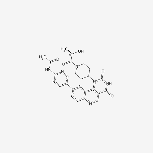 CC(=O)Nc1ncc(-c2ccc3ncc4c(=O)[nH]c(=O)n(C5CCN(C(=O)[C@@H](C)O)CC5)c4c3n2)cn1